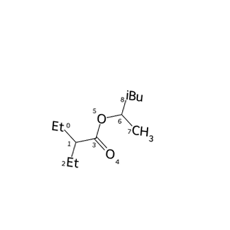 CCC(CC)C(=O)OC(C)C(C)CC